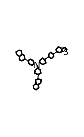 c1ccc2cc(-c3ccc(N(c4ccc(-c5ccc(-c6ccc7ccsc7c6)cc5)cc4)c4ccc(-c5ccc6ccccc6c5)cc4)cc3)ccc2c1